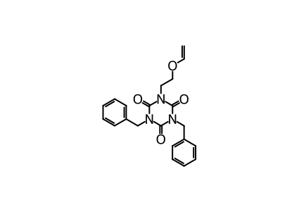 C=COCCn1c(=O)n(Cc2ccccc2)c(=O)n(Cc2ccccc2)c1=O